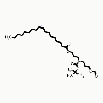 CCCCCCCC/C=C\CCCCCCCC(=O)OCCCN(CCCOC=O)C(=O)OC(C)(C)C